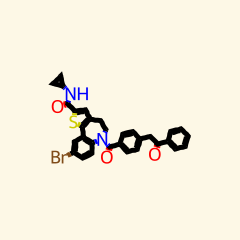 O=C(Cc1ccc(C(=O)N2CCc3cc(C(=O)NC4CC4)sc3-c3cc(Br)ccc32)cc1)c1ccccc1